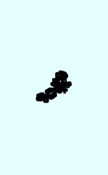 COC(=O)c1c(F)cc(N2CCN(C(=O)OC(C)(C)C)CC2)c2cnn(C3CCCCO3)c12